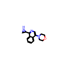 c1ccc2c(C3CN3)ncc(N3CCOCC3)c2c1